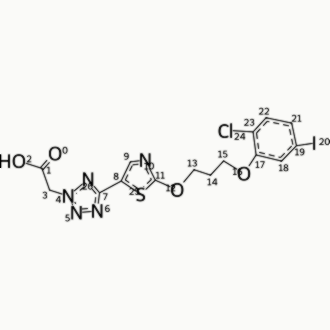 O=C(O)Cn1nnc(-c2cnc(OCCCOc3cc(I)ccc3Cl)s2)n1